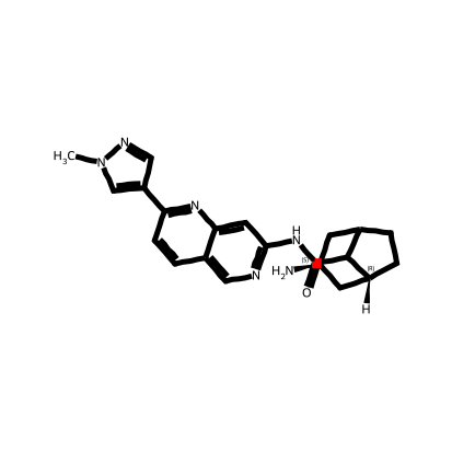 Cn1cc(-c2ccc3cnc(NC(=O)C4C5CC[C@@H]4C[C@@H](N)C5)cc3n2)cn1